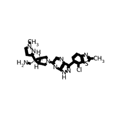 Cc1nc2ccc(-c3n[nH]c4nc(N5C[C@@H]6[C@H](C5)[C@]6(CN)c5ccn(C)n5)cnc34)c(Cl)c2s1